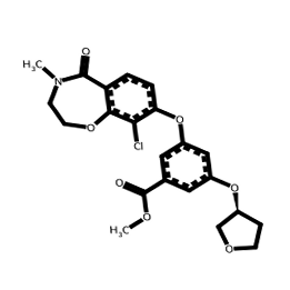 COC(=O)c1cc(Oc2ccc3c(c2Cl)OCCN(C)C3=O)cc(O[C@H]2CCOC2)c1